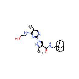 Cc1cnc(-n2cc(C(=O)NCC34CC5CC(CC(C5)C3)C4)c(C)n2)nc1NCCO